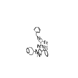 CCC1CN(Cc2ccccc2)CC1c1nc2c(cnn2C2CCOCC2)c(=O)[nH]1